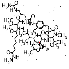 CC[C@H](C)[C@@H]([C@@H](CC(C)=O)OC)N(C)C(=O)[C@@H](NC(=O)C(C(C)C)N(C)C(=O)OCc1ccc(NC(=O)[C@H](CCCNC(N)=O)NC(=O)C(NC(=O)CCCCCC(=O)NN)C(C)C)cc1)C(C)C